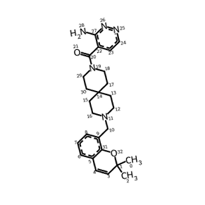 CC1(C)C=Cc2cccc(CN3CCC4(CC3)CCN(C(=O)c3ccnnc3N)CC4)c2O1